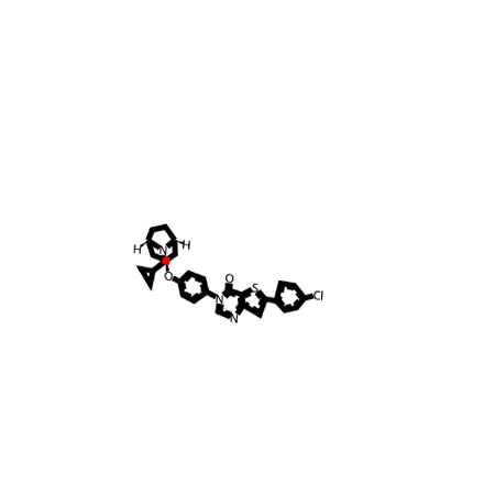 O=c1c2sc(-c3ccc(Cl)cc3)cc2ncn1-c1ccc(O[C@H]2C[C@H]3CC[C@@H](C2)N3CC2CC2)cc1